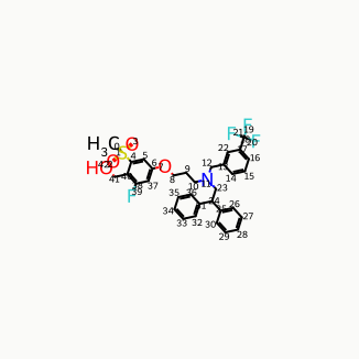 CS(=O)(=O)c1cc(OCCCN(Cc2cccc(C(F)(F)F)c2)CC(c2ccccc2)c2ccccc2)cc(F)c1CO